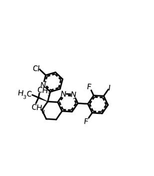 CC(C)(C)[C@]1(c2cccc(Cl)n2)CCCc2cc(-c3c(F)ccc(I)c3F)nnc21